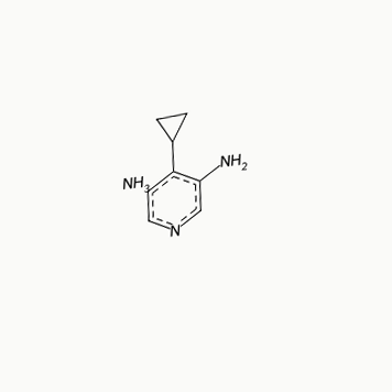 N.Nc1cnccc1C1CC1